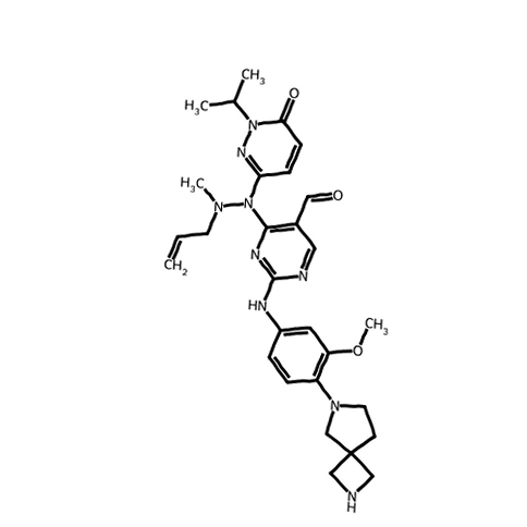 C=CCN(C)N(c1ccc(=O)n(C(C)C)n1)c1nc(Nc2ccc(N3CCC4(CNC4)C3)c(OC)c2)ncc1C=O